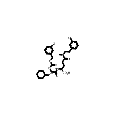 CN(CCc1cccc(Cl)c1)C(=O)CC[C@H](NC(=O)[C@H](CC1CCCCC1)NC(=O)OCc1cccc(Cl)c1)C(=O)O